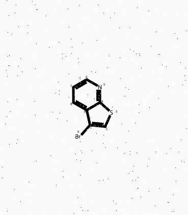 Brc1csc2ncccc12